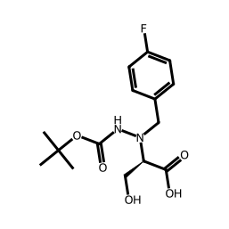 CC(C)(C)OC(=O)NN(Cc1ccc(F)cc1)[C@H](CO)C(=O)O